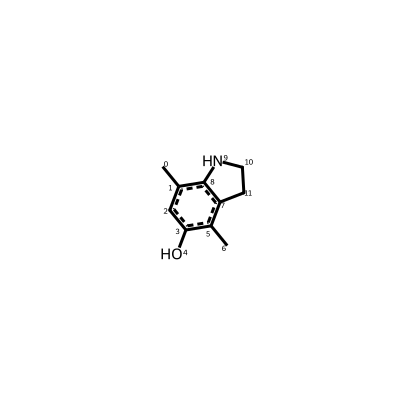 Cc1cc(O)c(C)c2c1NCC2